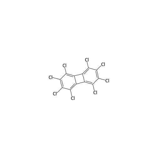 Clc1c(Cl)c(Cl)c2c(c1Cl)-c1c(Cl)c(Cl)c(Cl)c(Cl)c1-2